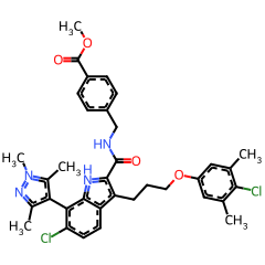 COC(=O)c1ccc(CNC(=O)c2[nH]c3c(-c4c(C)nn(C)c4C)c(Cl)ccc3c2CCCOc2cc(C)c(Cl)c(C)c2)cc1